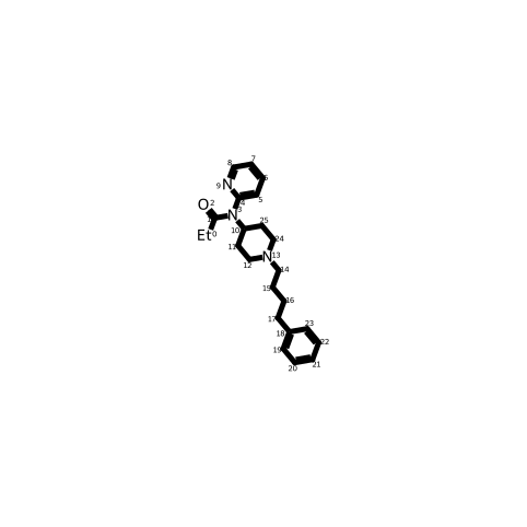 CCC(=O)N(c1ccccn1)C1CCN(CCCCc2ccccc2)CC1